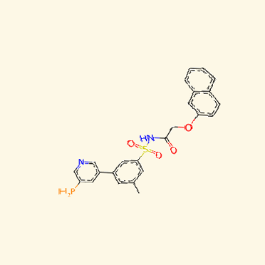 Cc1cc(-c2cncc(P)c2)cc(S(=O)(=O)NC(=O)COc2ccc3ccccc3c2)c1